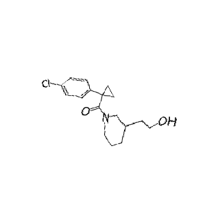 O=C(N1CCCC(CCO)C1)C1(c2ccc(Cl)cc2)CC1